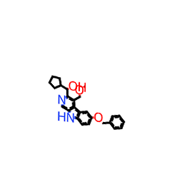 COCc1c(C(O)C2CCCC2)ncc2[nH]c3ccc(OCc4ccccc4)cc3c12